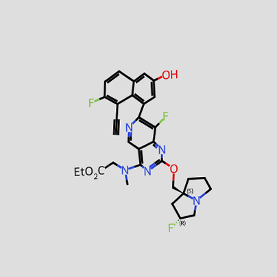 C#Cc1c(F)ccc2cc(O)cc(-c3ncc4c(N(C)CC(=O)OCC)nc(OC[C@@]56CCCN5C[C@H](F)C6)nc4c3F)c12